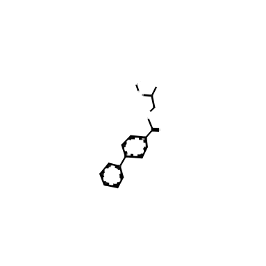 CCC(C)OC(C)COC(=O)c1ccc(-c2ccccc2)cc1